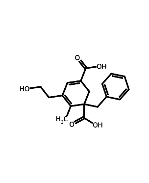 CC1=C(CCO)C=C(C(=O)O)CC1(Cc1ccccc1)C(=O)O